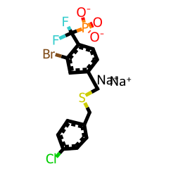 O=P([O-])([O-])C(F)(F)c1ccc(CSCc2ccc(Cl)cc2)cc1Br.[Na+].[Na+]